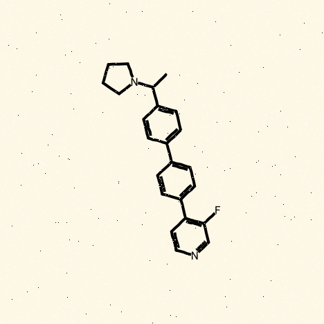 CC(c1ccc(-c2ccc(-c3ccncc3F)cc2)cc1)N1CCCC1